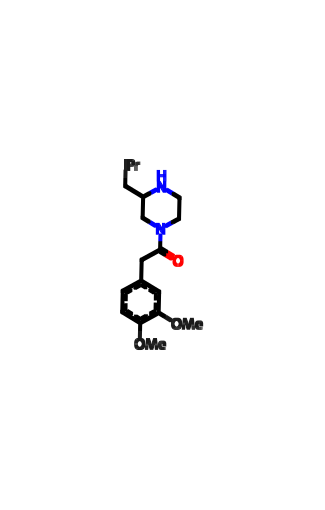 COc1ccc(CC(=O)N2CCNC(CC(C)C)C2)cc1OC